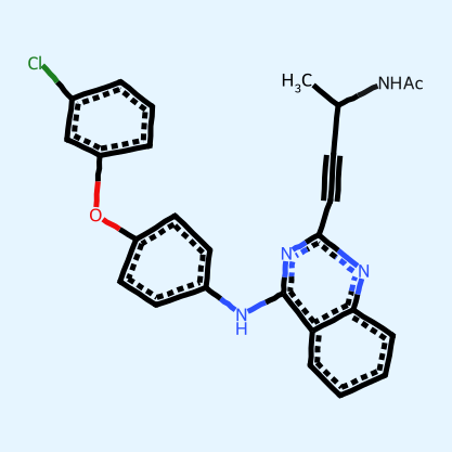 CC(=O)NC(C)C#Cc1nc(Nc2ccc(Oc3cccc(Cl)c3)cc2)c2ccccc2n1